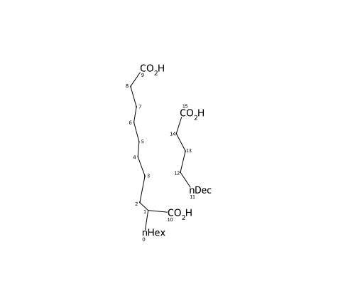 CCCCCCC(CCCCCCCC(=O)O)C(=O)O.CCCCCCCCCCCCCC(=O)O